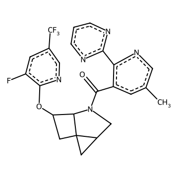 Cc1cnc(-c2ncccn2)c(C(=O)N2CC3CC34CC(Oc3ncc(C(F)(F)F)cc3F)C24)c1